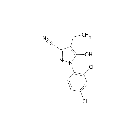 CCc1c(C#N)nn(-c2ccc(Cl)cc2Cl)c1O